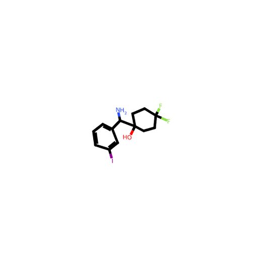 NC(c1cccc(I)c1)C1(O)CCC(F)(F)CC1